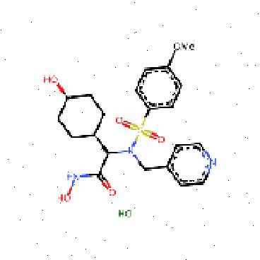 COc1ccc(S(=O)(=O)N(Cc2ccncc2)C(C(=O)NO)[C@H]2CC[C@@H](O)CC2)cc1.Cl